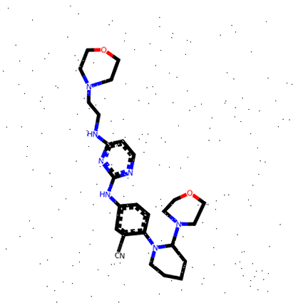 N#Cc1cc(Nc2nccc(NCCN3CCOCC3)n2)ccc1N1CCCCC1N1CCOCC1